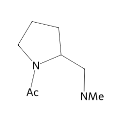 CNCC1CCCN1C(C)=O